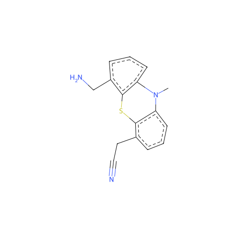 CN1c2cccc(CN)c2Sc2c(CC#N)cccc21